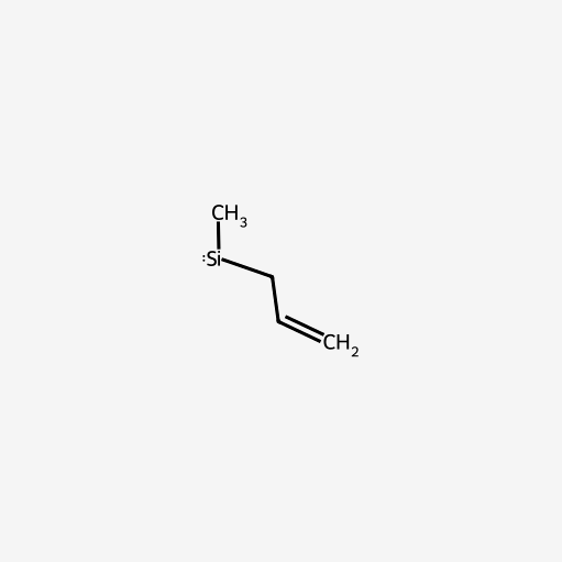 C=CC[Si]C